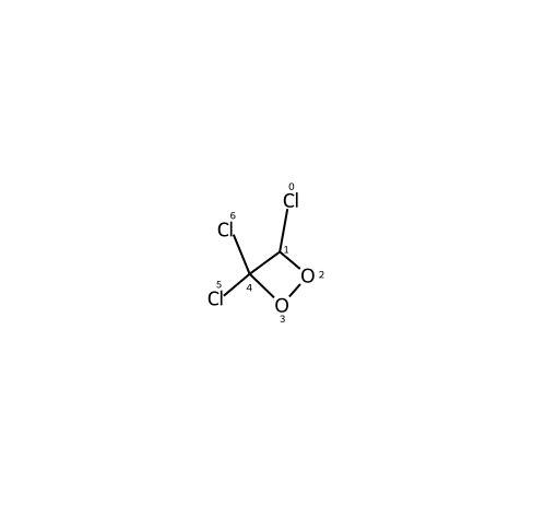 ClC1OOC1(Cl)Cl